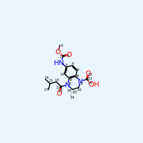 COC(=O)Nc1ccc2c(c1)N(C(=O)CC(C)C)[C@@H](C)CN2C(=O)O